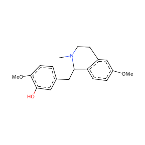 COc1ccc2c(c1)CCN(C)C2Cc1ccc(OC)c(O)c1